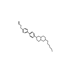 C=CCCc1ccc(-c2ccc(C3CCC4CC(CCCCCC)CCC4C3)cc2)cc1